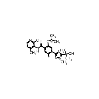 Cc1ccnc(Cl)c1NC(=O)c1cc(F)c(-c2nc(C(C)(C)O)n(C)n2)cc1O[C@@H](C)C(F)(F)F